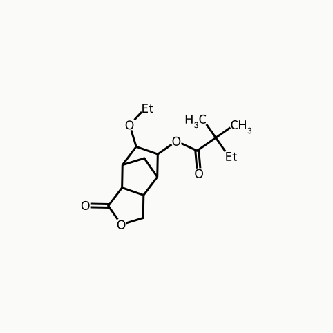 CCOC1C2CC(C3COC(=O)C32)C1OC(=O)C(C)(C)CC